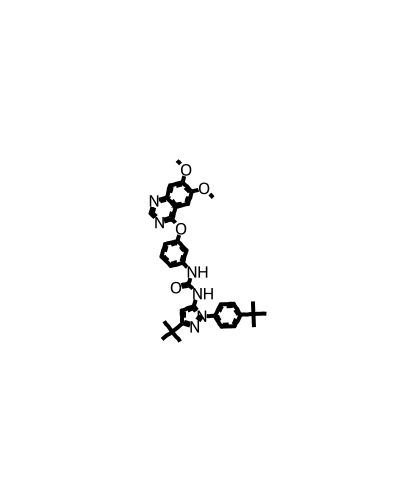 COc1cc2ncnc(Oc3cccc(NC(=O)Nc4cc(C(C)(C)C)nn4-c4ccc(C(C)(C)C)cc4)c3)c2cc1OC